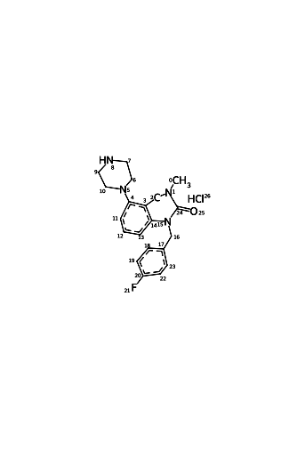 CN1Cc2c(N3CCNCC3)cccc2N(Cc2ccc(F)cc2)C1=O.Cl